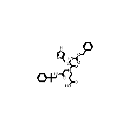 CC(C)(CNC(=O)CN(CCC(=O)O)C(=O)[C@H](Cc1c[nH]cn1)NC(=O)OCc1ccccc1)c1ccccc1